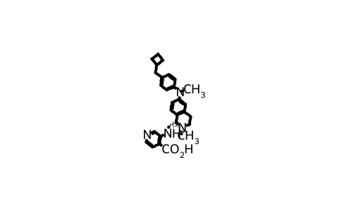 CN(c1ccc(CC2CCC2)cc1)c1ccc2c(c1)CCN(C)[C@@H]2CNc1cnccc1C(=O)O